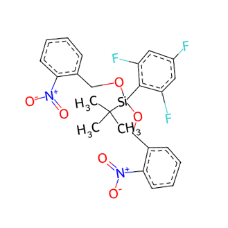 CC(C)(C)[Si](OCc1ccccc1[N+](=O)[O-])(OCc1ccccc1[N+](=O)[O-])c1c(F)cc(F)cc1F